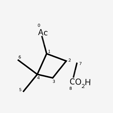 CC(=O)C1CCC1(C)C.CC(=O)O